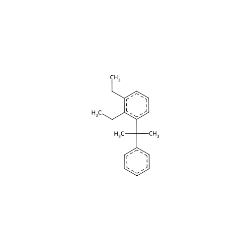 CCc1cccc(C(C)(C)c2ccccc2)c1CC